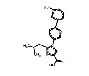 Cc1cccc(-c2ccc(-n3cc(C(=O)O)nc3CC(C)C)cc2)c1